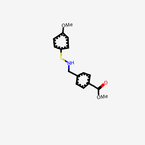 COC(=O)c1ccc(CNSc2ccc(OC)cc2)cc1